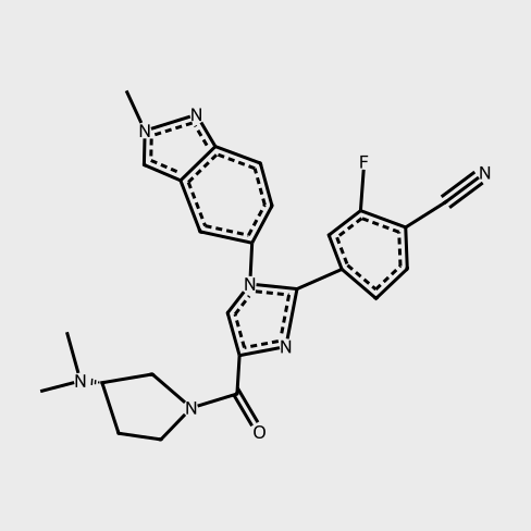 CN(C)[C@H]1CCN(C(=O)c2cn(-c3ccc4nn(C)cc4c3)c(-c3ccc(C#N)c(F)c3)n2)C1